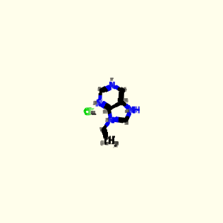 C=C[n+]1c[nH]c2cncnc21.[Cl-]